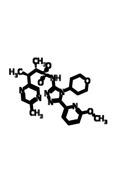 COc1cccc(-c2nnc(NS(=O)(=O)[C@@H](C)[C@H](C)c3cnc(C)cn3)n2C2CCOCC2)n1